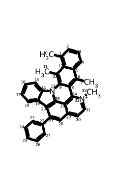 Cc1cccc2c(C)c3c(c(C)c12)n1c2ccccc2c2c(-c4ccccc4)cc4cc[n+](C)c3c4c21